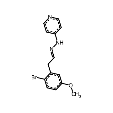 COc1ccc(Br)c(CC=NNc2ccncc2)c1